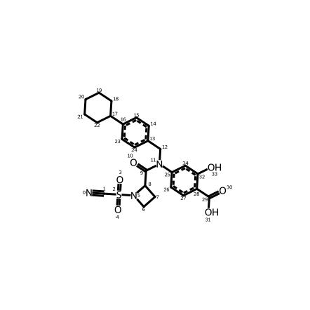 N#CS(=O)(=O)N1CCC1C(=O)N(Cc1ccc(C2CCCCC2)cc1)c1ccc(C(=O)O)c(O)c1